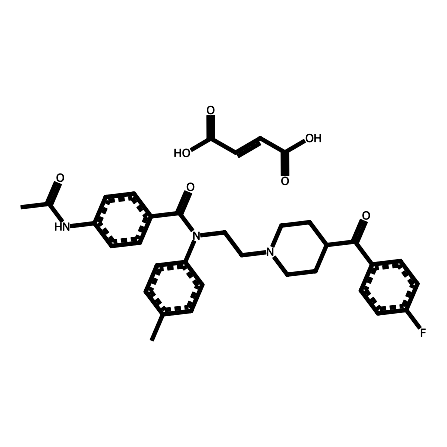 CC(=O)Nc1ccc(C(=O)N(CCN2CCC(C(=O)c3ccc(F)cc3)CC2)c2ccc(C)cc2)cc1.O=C(O)C=CC(=O)O